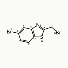 BrCc1nc2cc(Br)ccc2s1